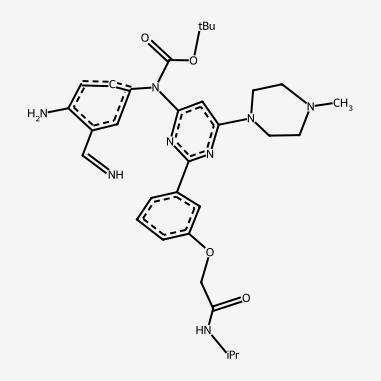 CC(C)NC(=O)COc1cccc(-c2nc(N3CCN(C)CC3)cc(N(C(=O)OC(C)(C)C)c3ccc(N)c(C=N)c3)n2)c1